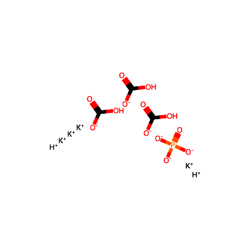 O=C([O-])O.O=C([O-])O.O=C([O-])O.O=P([O-])([O-])[O-].[H+].[H+].[K+].[K+].[K+].[K+]